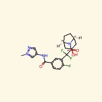 Cn1cc(NC(=O)c2ccc(F)c(C(F)(F)C(=O)N3[C@@H]4CC[C@H]3C[C@@H](O)C4)c2)cn1